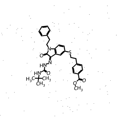 COC(=O)c1ccc(CCSc2ccc3c(c2)C(=NNC(=O)NC(C)(C)C)C(=O)N3CCc2ccccc2)cc1